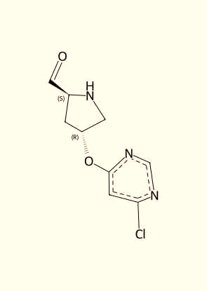 O=C[C@@H]1C[C@@H](Oc2cc(Cl)ncn2)CN1